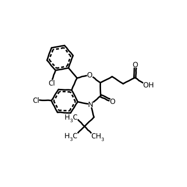 CC(C)(C)CN1C(=O)C(CCC(=O)O)OC(c2ccccc2Cl)c2cc(Cl)ccc21